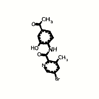 CC(=O)c1ccc(NC(=O)c2ncc(Br)cc2C)c(O)c1